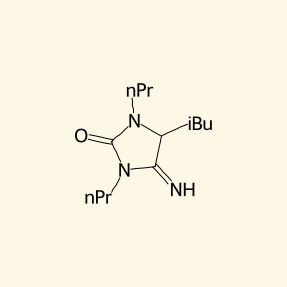 CCCN1C(=N)C(C(C)CC)N(CCC)C1=O